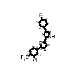 Fc1ccc(-c2c[nH]c(-c3ccc(-c4ccc(C(F)(F)F)c(Cl)c4)o3)n2)cc1